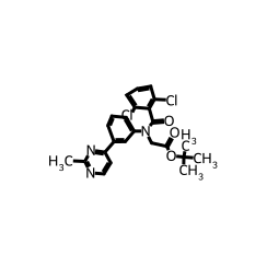 Cc1nccc(-c2cccc(N(CC(=O)OC(C)(C)C)C(=O)c3c(Cl)cccc3Cl)c2)n1